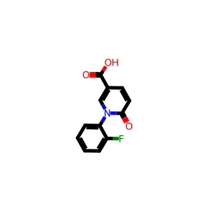 O=C(O)c1ccc(=O)n(-c2ccccc2F)c1